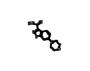 O=C(O)c1nsc2cc(N3CCOCC3)ccc12